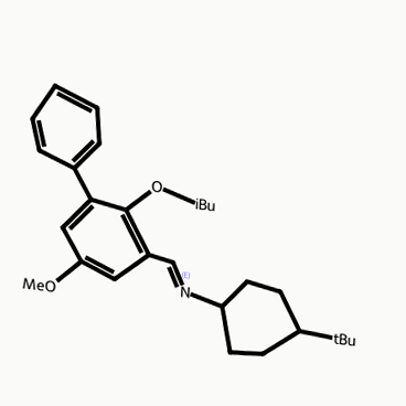 CCC(C)Oc1c(/C=N/C2CCC(C(C)(C)C)CC2)cc(OC)cc1-c1ccccc1